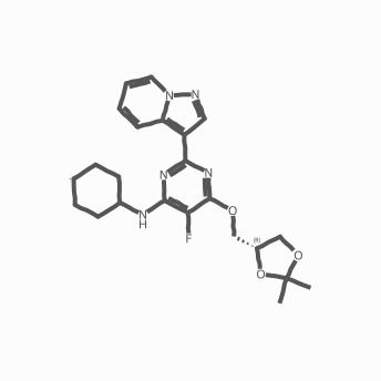 CC1(C)OC[C@@H](COc2nc(-c3cnn4ccccc34)nc(NC3CC[CH]CC3)c2F)O1